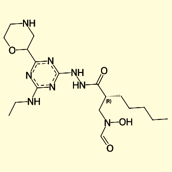 CCCCC[C@H](CN(O)C=O)C(=O)NNc1nc(NCC)nc(C2CNCCO2)n1